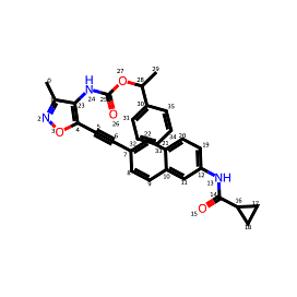 Cc1noc(C#Cc2ccc3cc(NC(=O)C4CC4)ccc3c2)c1NC(=O)OC(C)c1ccccc1